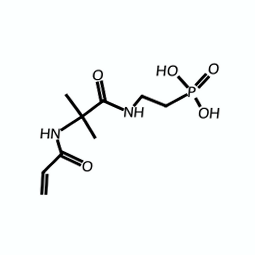 C=CC(=O)NC(C)(C)C(=O)NCCP(=O)(O)O